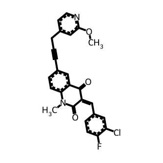 COc1cc(CC#Cc2ccc3c(c2)C(=O)/C(=C/c2ccc(F)c(Cl)c2)C(=O)N3C)ccn1